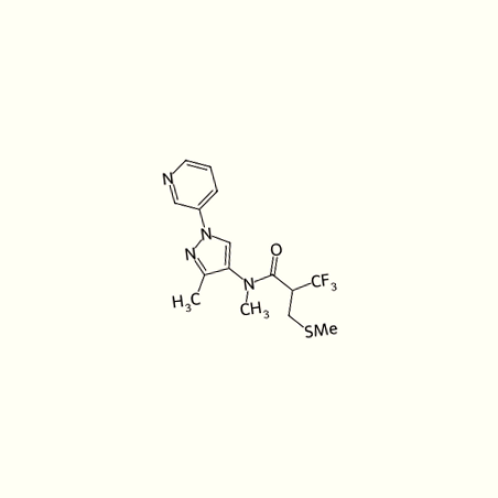 CSCC(C(=O)N(C)c1cn(-c2cccnc2)nc1C)C(F)(F)F